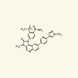 CC(C)c1cc(-n2c(=O)n(C)c3cnc4ccc(-c5ccc(-c6cnn(C)c6)nc5)cc4c32)ccc1C(N)=O